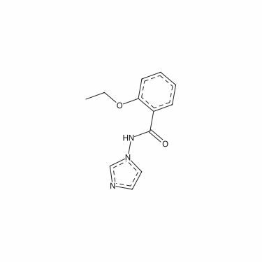 CCOc1ccccc1C(=O)Nn1ccnc1